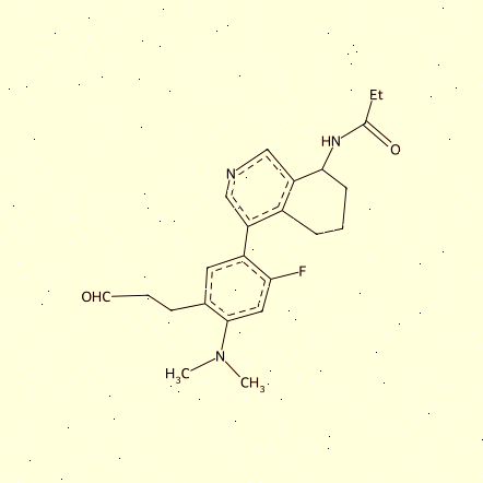 CCC(=O)NC1CCCc2c(-c3cc(CCC=O)c(N(C)C)cc3F)cncc21